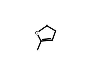 CC1=CC[C]O1